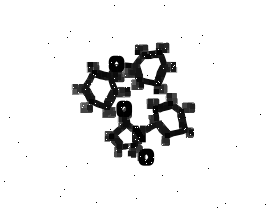 O=C1C=CC(=O)N1c1ccccc1.c1ccc(Oc2ccccc2)cc1